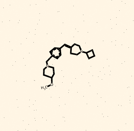 COC1CCN(Cc2ccc(C=C3CCN(C4CCC4)CC3)cc2)CC1